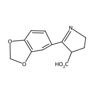 O=C(O)C1CCN=C1c1ccc2c(c1)OCO2